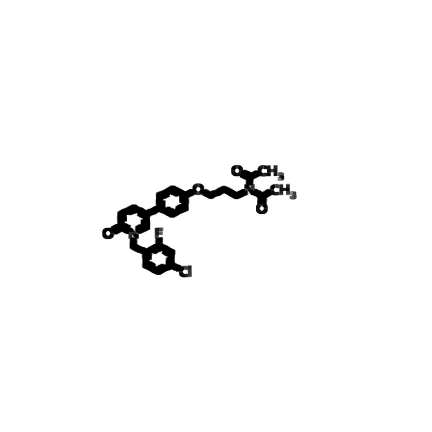 CC(=O)N(CCCOc1ccc(-c2ccc(=O)n(Cc3ccc(Cl)cc3F)c2)cc1)C(C)=O